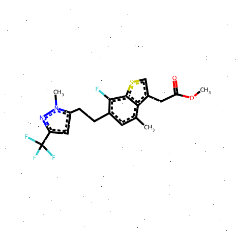 COC(=O)Cc1csc2c(F)c(CCc3cc(C(F)(F)F)nn3C)cc(C)c12